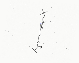 C/C(CCC(C)(C)C)=N\OCCCCCC(=O)C(C)C